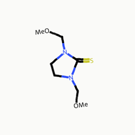 COCN1CCN(COC)C1=S